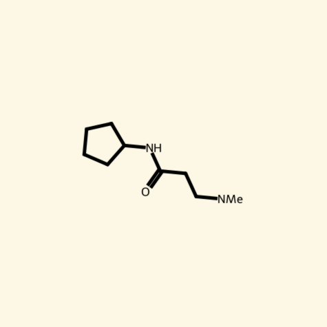 CNCCC(=O)NC1CCCC1